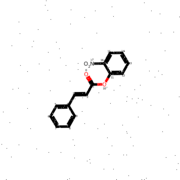 O=C(/C=C/c1ccccc1)Oc1ccccc1[N+](=O)[O-]